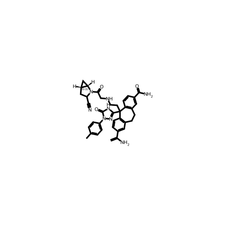 C=C(N)c1ccc2c(c1)CCc1cc(C(N)=O)ccc1C2(CCNCC(=O)N1C(C#N)C[C@@H]2C[C@@H]21)c1nn(-c2ccc(C)cc2)c(=O)[nH]1